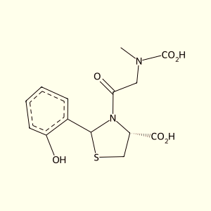 CN(CC(=O)N1C(c2ccccc2O)SC[C@H]1C(=O)O)C(=O)O